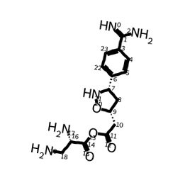 N=C(N)c1ccc([C@@H]2C[C@H](CC(=O)OC(=O)[C@@H](N)CN)ON2)cc1